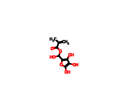 C=C(C)C(=O)OC(O)c1oc(O)c(O)c1O